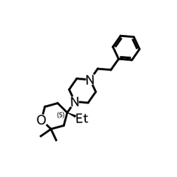 CC[C@]1(N2CCN(CCc3ccccc3)CC2)CCOC(C)(C)C1